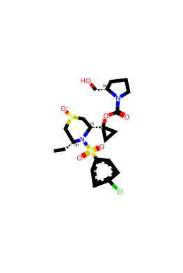 CC[C@@H]1C[S+]([O-])C[C@H](C2(OC(=O)N3CCC[C@H]3CO)CC2)N1S(=O)(=O)c1ccc(Cl)cc1